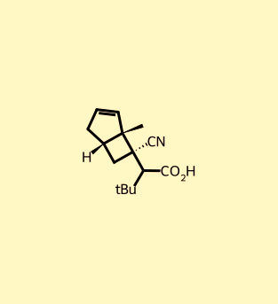 CC(C)(C)C(C(=O)O)[C@@]1(C#N)C[C@@H]2CC=C[C@@]21C